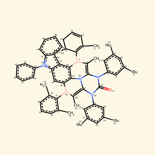 CC1=C(B2C(C)=C3N(c4cc(C(C)(C)C)cc(C(C)(C)C)c4)C(=O)N(c4cc(C(C)(C)C)cc(C(C)(C)C)c4)C4=C(C)B(c5c(C)cccc5C)c5cc6c(c2c5N43)c2ccccc2n6-c2ccccc2)C(C)CC=C1